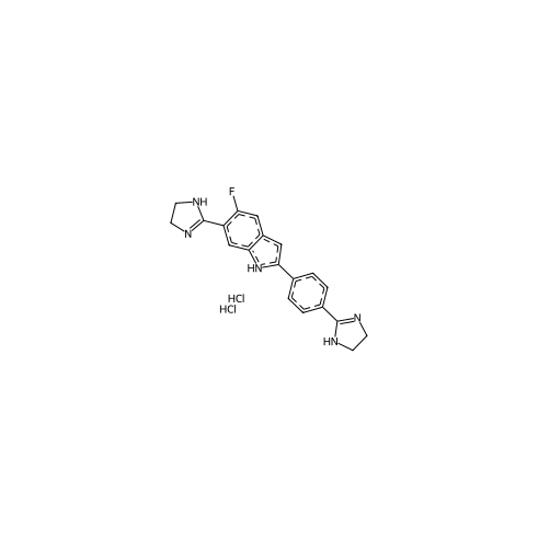 Cl.Cl.Fc1cc2cc(-c3ccc(C4=NCCN4)cc3)[nH]c2cc1C1=NCCN1